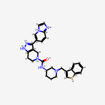 O=C(N[C@@H]1CCCN(Cc2csc3ccccc23)C1)N1CCc2[nH]nc(-c3ccc4nccn4c3)c2C1